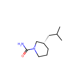 C[C](C)C[C@@H]1CCCN(C(N)=O)C1